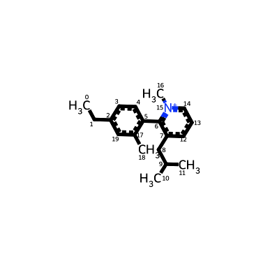 CCc1ccc(-c2c(CC(C)C)ccc[n+]2C)c(C)c1